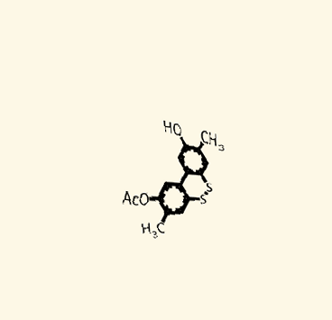 CC(=O)Oc1cc2c(cc1C)SSc1cc(C)c(O)cc1-2